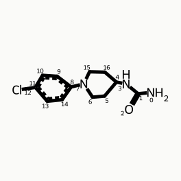 NC(=O)NC1CCN(c2ccc(Cl)cc2)CC1